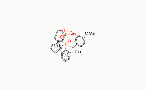 COc1ccc(CP(OP(=O)(O)O)(c2ccccc2C)(c2ccccc2C)c2ccccc2C)cc1